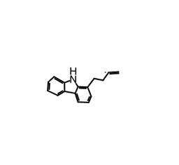 C=[C]CCc1cccc2c1[nH]c1ccccc12